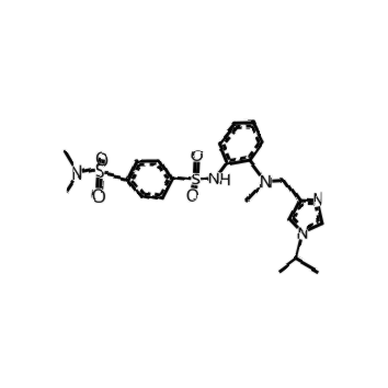 CC(C)n1cnc(CN(C)c2ccccc2NS(=O)(=O)c2ccc(S(=O)(=O)N(C)C)cc2)c1